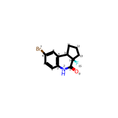 O=C1Nc2ccc(Br)cc2C2CCCC12F